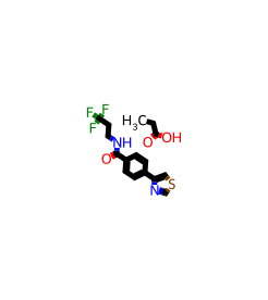 CCC(=O)O.O=C(NCCC(F)(F)F)c1ccc(-c2cscn2)cc1